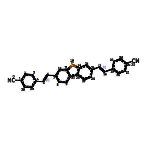 N#Cc1ccc(/C=C/c2ccc3c(c2)sc2cc(/C=C/c4ccc(C#N)cc4)ccc23)cc1